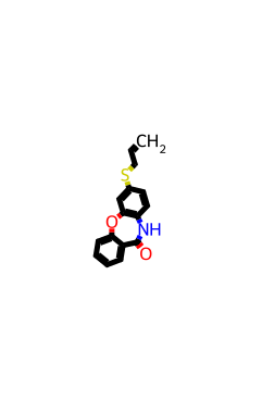 C=CCSc1ccc2c(c1)Oc1ccccc1C(=O)N2